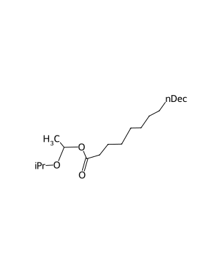 CCCCCCCCCCCCCCCCCC(=O)OC(C)OC(C)C